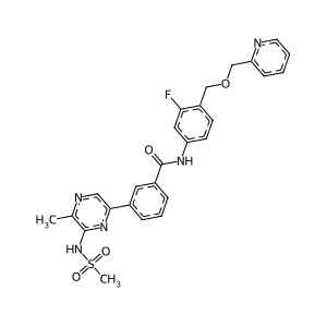 Cc1ncc(-c2cccc(C(=O)Nc3ccc(COCc4ccccn4)c(F)c3)c2)nc1NS(C)(=O)=O